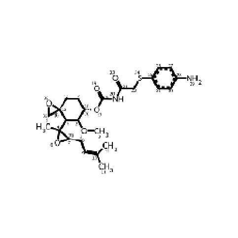 COC1C(C2(C)O[C@@H]2CC=C(C)C)[C@]2(CC[C@@H]1OC(=O)NC(=O)CSc1ccc(N)cc1)CO2